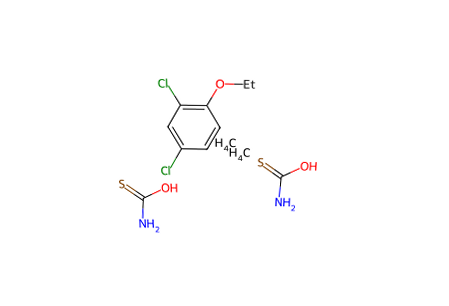 C.C.CCOc1ccc(Cl)cc1Cl.NC(O)=S.NC(O)=S